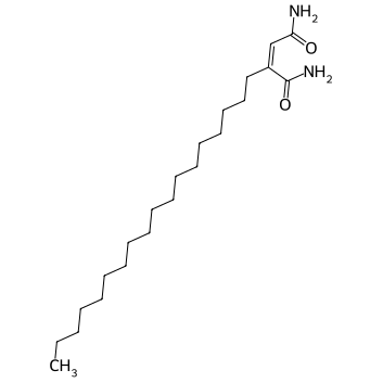 CCCCCCCCCCCCCCCCCCC(=CC(N)=O)C(N)=O